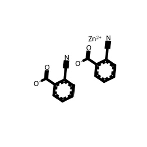 N#Cc1ccccc1C(=O)[O-].N#Cc1ccccc1C(=O)[O-].[Zn+2]